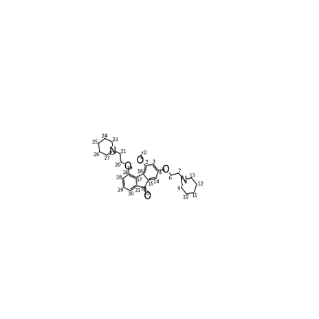 COc1cc(OCCN2CCCCC2)cc2c1-c1c(OCCN3CCCCC3)cccc1C2=O